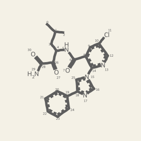 CC(C)CC(NC(=O)c1cc(Cl)cnc1-n1cnc(-c2ccccc2)c1)C(=O)C(N)=O